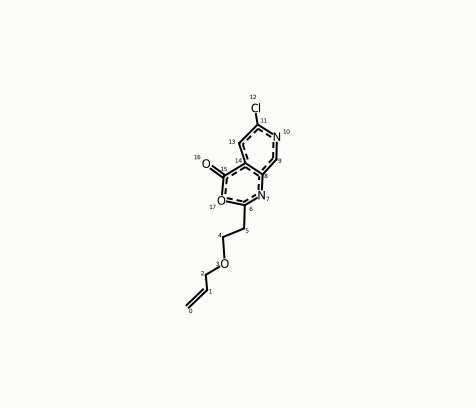 C=CCOCCc1nc2cnc(Cl)cc2c(=O)o1